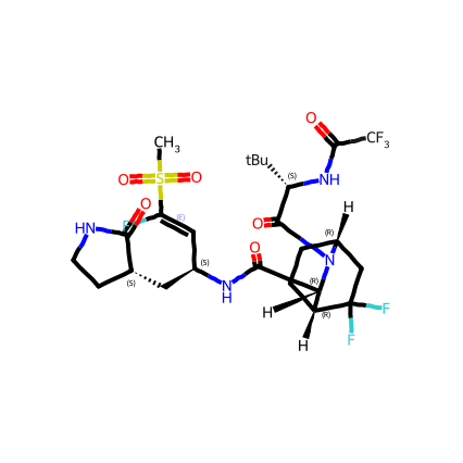 CC(C)(C)[C@H](NC(=O)C(F)(F)F)C(=O)N1[C@@H]2CC[C@H]([C@@H]1C(=O)N[C@H](/C=C(\F)S(C)(=O)=O)C[C@@H]1CCNC1=O)C(F)(F)C2